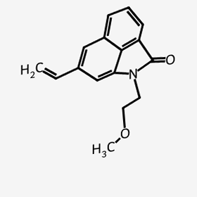 C=Cc1cc2c3c(cccc3c1)C(=O)N2CCOC